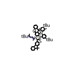 C/C(=C\C=C(/C)C(C)(C)C)N1c2cc3c(c4c2B(c2cc(C(C)(C)C)ccc2N4C2=C[C@H](C)C(C(C)(C)C)C=C2)c2sc4cc5c(cc4c21)-c1ccccc1C5(C)C)C(C)(C)c1ccccc1O3